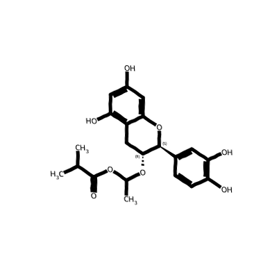 CC(OC(=O)C(C)C)O[C@@H]1Cc2c(O)cc(O)cc2O[C@H]1c1ccc(O)c(O)c1